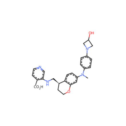 CN(c1ccc(N2CC(O)C2)cc1)c1ccc2c(c1)OCC[C@H]2CNc1cnccc1C(=O)O